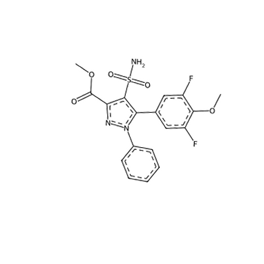 COC(=O)c1nn(-c2ccccc2)c(-c2cc(F)c(OC)c(F)c2)c1S(N)(=O)=O